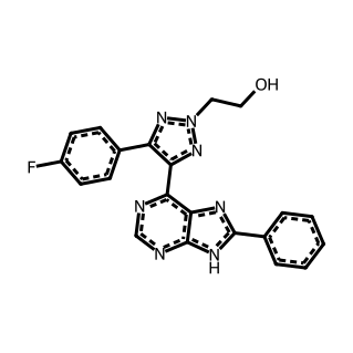 OCCn1nc(-c2ccc(F)cc2)c(-c2ncnc3[nH]c(-c4ccccc4)nc23)n1